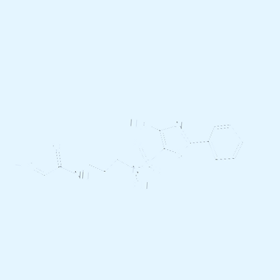 C=CC(=O)NCCCN(C)S(=O)(=O)c1sc(-c2ccccc2)nc1C